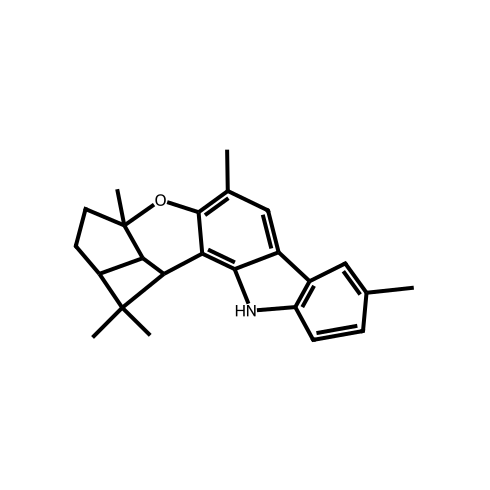 Cc1ccc2[nH]c3c4c(c(C)cc3c2c1)OC1(C)CCC2C1C4C2(C)C